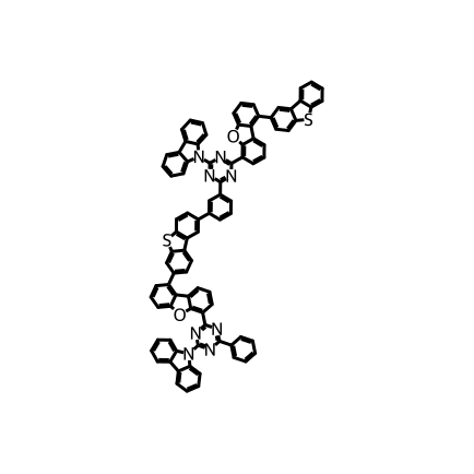 c1ccc(-c2nc(-c3cccc4c3oc3cccc(-c5ccc6c(c5)sc5ccc(-c7cccc(-c8nc(-c9cccc%10c9oc9cccc(-c%11ccc%12sc%13ccccc%13c%12c%11)c9%10)nc(-n9c%10ccccc%10c%10ccccc%109)n8)c7)cc56)c34)nc(-n3c4ccccc4c4ccccc43)n2)cc1